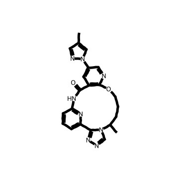 Cc1cnn(-c2cnc3c(c2)C(=O)Nc2cccc(n2)-c2nncn2C(C)CCCO3)c1